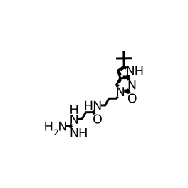 CC(C)(C)c1cc2cn(CCCNC(=O)CCNC(=N)N)c(=O)nc2[nH]1